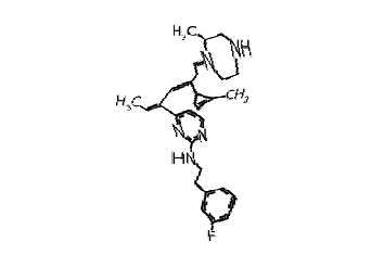 C/C=C(\C=C(\CN1CCNC[C@@H]1C)C1C=C1C)c1ccnc(NCCc2cccc(F)c2)n1